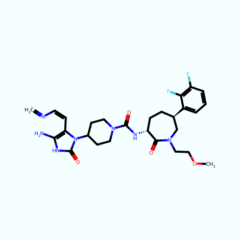 C=N/C=C\c1c(N)[nH]c(=O)n1C1CCN(C(=O)N[C@@H]2CC[C@@H](c3cccc(F)c3F)CN(CCOC)C2=O)CC1